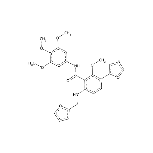 COc1cc(NC(=O)c2c(NCc3ccco3)ccc(-c3cnco3)c2OC)cc(OC)c1OC